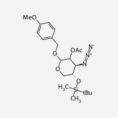 COc1ccc(COC2OC[C@@H](O[Si](C)(C)C(C)(C)C)[C@H](N=[N+]=[N-])C2OC(C)=O)cc1